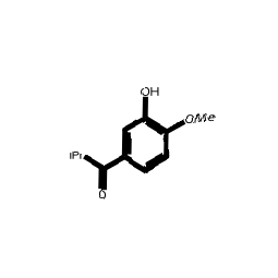 COc1ccc(C(=O)C(C)C)cc1O